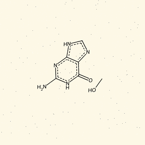 CO.Nc1nc2[nH]cnc2c(=O)[nH]1